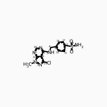 Cn1nc(Cl)c2c(NCc3ccc(S(N)(=O)=O)cc3)ncnc21